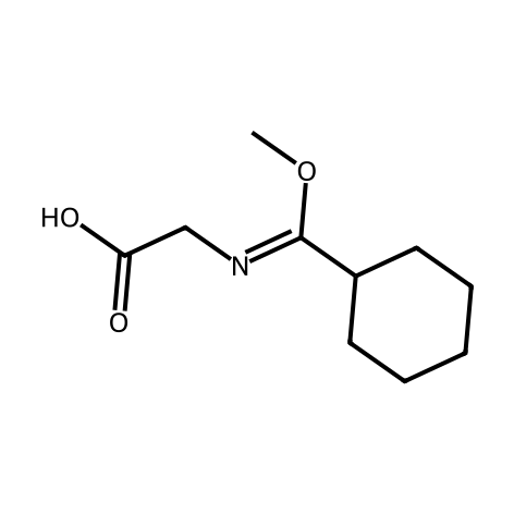 CO/C(=N\CC(=O)O)C1CCCCC1